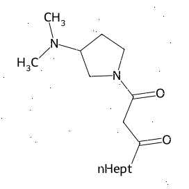 CCCCCCCC(=O)CC(=O)N1CCC(N(C)C)C1